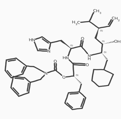 C=C[C@@H](C[C@H](O)[C@H](CC1CCCCC1)NC(=O)[C@H](Cc1c[nH]cn1)NC(=O)[C@H](Cc1ccccc1)OC(=O)N(Cc1ccccc1)Cc1ccccc1)C(C)C